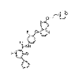 O=C(Nc1ccc(Oc2ccnc3cc(OCCN4CCOCC4)ncc23)c(F)c1)c1c[nH]cc(-c2ccccc2)c1=O